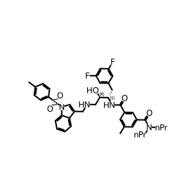 CCCN(CCC)C(=O)c1cc(C)cc(C(=O)N[C@@H](Cc2cc(F)cc(F)c2)[C@H](O)CNCc2cn(S(=O)(=O)c3ccc(C)cc3)c3ccccc23)c1